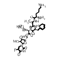 CC[C@H](C)[C@H](NC(=O)[C@H](Cc1ccccc1)NC(=O)[C@H](C)NC(=O)[C@@H](N)CCCCN)C(=O)OC[C@@H]1O[C@H](n2cc(F)c(=O)[nH]c2=O)C(O)C1O.Cl.Cl